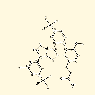 COc1ccc(CCC(=O)O)cc1-c1ccc(C(F)(F)F)cc1[C@@H]1CCC2[C@@H](c3cc(F)cc(C(F)(F)F)c3)NSN21